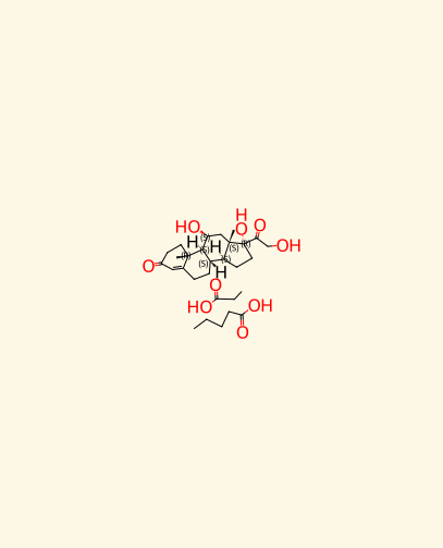 CCC(=O)O.CCCCC(=O)O.C[C@]12CCC(=O)C=C1CC[C@@H]1[C@@H]2[C@@H](O)C[C@@]2(C)[C@H]1CC[C@]2(O)C(=O)CO